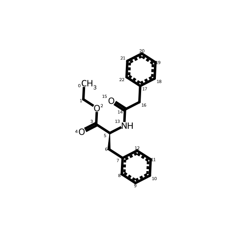 CCOC(=O)[C@H](Cc1ccccc1)NC(=O)Cc1ccccc1